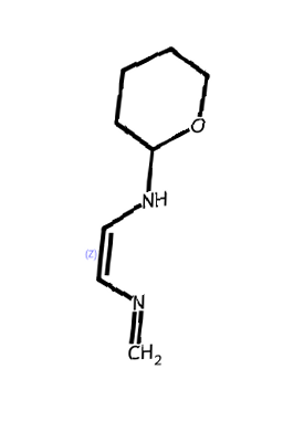 C=N/C=C\NC1CCCCO1